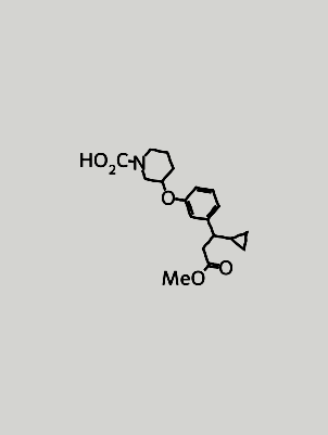 COC(=O)CC(c1cccc(OC2CCCN(C(=O)O)C2)c1)C1CC1